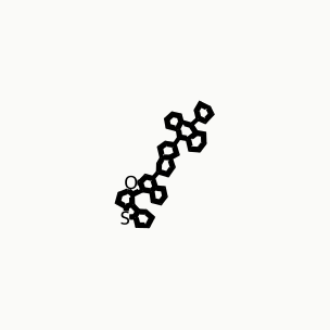 c1ccc(-c2c3ccccc3c(-c3ccc4cc(-c5cc6oc7ccc8sc9ccccc9c8c7c6c6ccccc56)ccc4c3)c3ccccc23)cc1